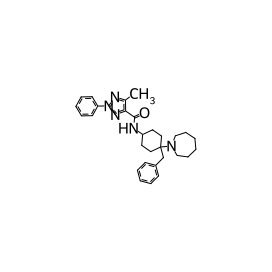 Cc1nn(-c2ccccc2)nc1C(=O)NC1CCC(Cc2ccccc2)(N2CCCCCC2)CC1